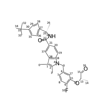 Cc1c(C)n(Cc2ccc(F)c(O[C@@H](C)C=O)c2)c2ccc(C(=O)N[C@@H](C)c3ccc(C(C)(C)C)cc3)cc12